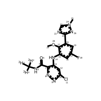 [2H]C([2H])([2H])NC(=O)c1nnc(Cl)cc1Nc1cc(F)cc(-c2ncn(C)n2)c1OC